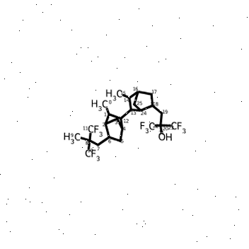 CC1C2CC(CC2CC(C)(C(F)(F)F)C(F)(F)F)C1C1C(C)C2CC(CC(O)(C(F)(F)F)C(F)(F)F)C1C2